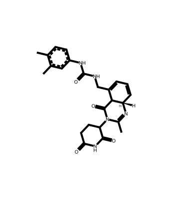 CC1=N[C@H]2C=CC=C(CNC(=O)Nc3ccc(C)c(C)c3)C2C(=O)N1C1CCC(=O)NC1=O